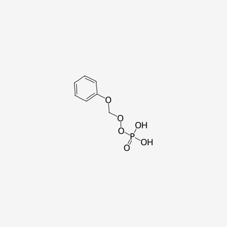 O=P(O)(O)OOCOc1ccccc1